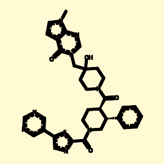 Cn1ccc2c(=O)n(CC3(O)CCN(C(=O)[C@@H]4CCN(C(=O)c5ncc(-c6cncnc6)s5)C[C@H]4c4ccccc4)CC3)cnc21